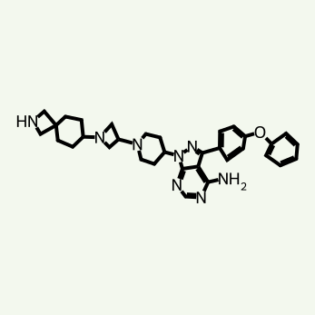 Nc1ncnc2c1c(-c1ccc(Oc3ccccc3)cc1)nn2C1CCN(C2CN(C3CCC4(CC3)CNC4)C2)CC1